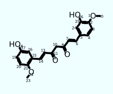 COc1ccc(/C=C/C(=O)CC(=O)/C=C/c2cc(O)ccc2OC)cc1O